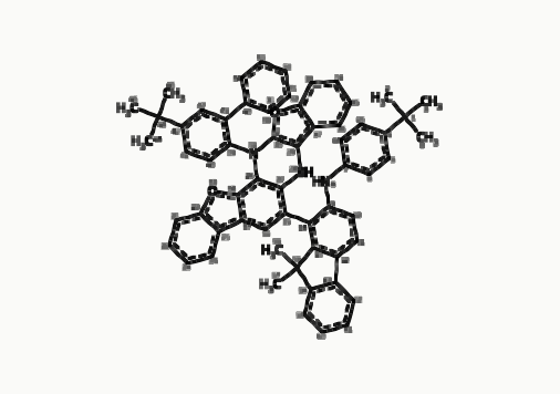 CC(C)(C)c1ccc(Nc2ccc3c(c2-c2cc4c(oc5ccccc54)c4c2Bc2c(oc5ccccc25)N4c2ccc(C(C)(C)C)cc2-c2ccccc2)C(C)(C)c2ccccc2-3)cc1